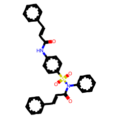 O=C(C=Cc1ccccc1)Nc1ccc(S(=O)(=O)N(C(=O)C=Cc2ccccc2)c2ccccc2)cc1